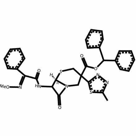 CON=C(C(=O)NC1C(=O)N2CC(C(=O)OC(c3ccccc3)c3ccccc3)(c3nnc(C)s3)CS[C@H]12)c1ccccc1